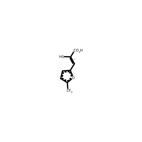 O=C(O)/C(S)=C/c1ccc(C(F)(F)F)o1